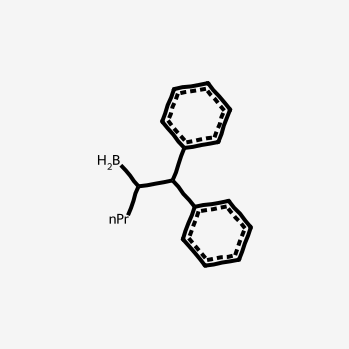 BC(CCC)C(c1ccccc1)c1ccccc1